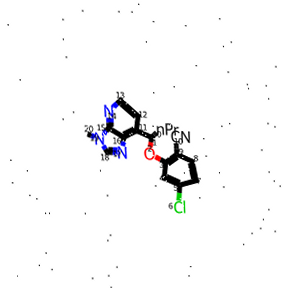 CCCC(Oc1cc(Cl)ccc1C#N)c1ccnc2c1ncn2C